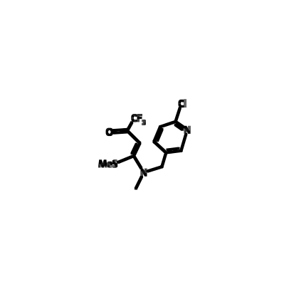 CSC(=CC(=O)C(F)(F)F)N(C)Cc1ccc(Cl)nc1